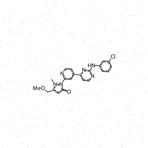 COCc1cc(=O)n(-c2cc(-c3ccnc(Nc4cccc(Cl)c4)n3)ccn2)n1C